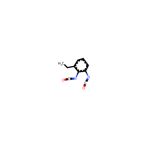 CCc1cccc(N=C=O)c1N=C=O